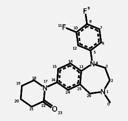 CN1CCN(c2ccc(F)c(F)c2)c2ccc(N3CCCCC3=O)cc2C1